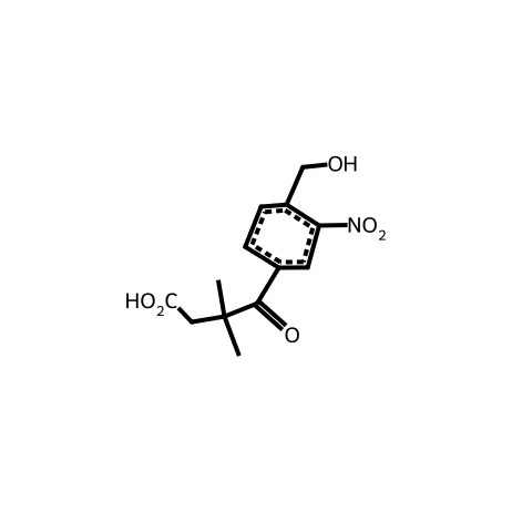 CC(C)(CC(=O)O)C(=O)c1ccc(CO)c([N+](=O)[O-])c1